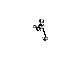 O=c1c(N2CCOCC2)cc2c(Cl)ccnc2n1CCCCCC1OCCO1